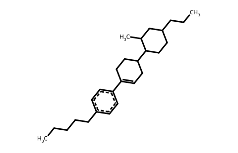 CCCCCc1ccc(C2=CCC(C3CCC(CCC)CC3C)CC2)cc1